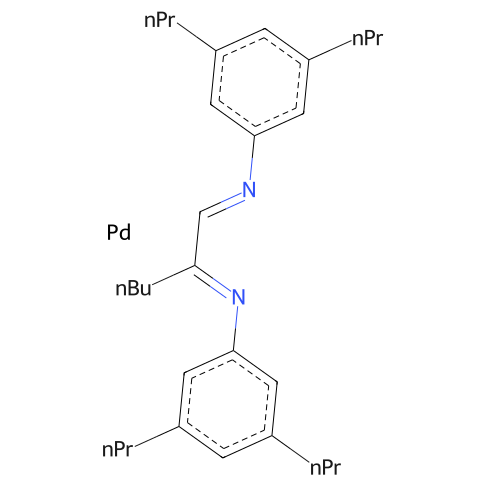 CCCCC(C=Nc1cc(CCC)cc(CCC)c1)=Nc1cc(CCC)cc(CCC)c1.[Pd]